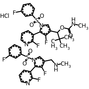 CNC(=O)OC(c1cn(S(=O)(=O)c2cccc(F)c2)c(-c2cccnc2F)c1F)C(C)(C)C.CNCc1cn(S(=O)(=O)c2cccc(F)c2)c(-c2cccnc2F)c1F.Cl